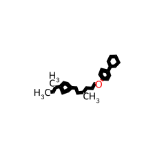 CCC(C)c1ccc(CCC(C)CCCOc2ccc(C3CCCCC3)cc2)cc1